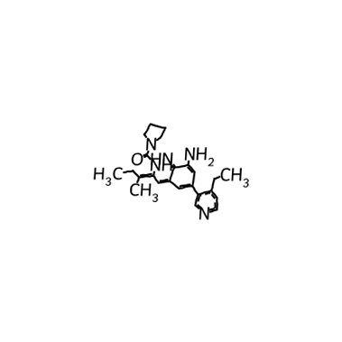 CC/C(C)=C(/C=C1/C=C(c2cnccc2CC)C=C(N)C1=N)NC(=O)N1CCCC1